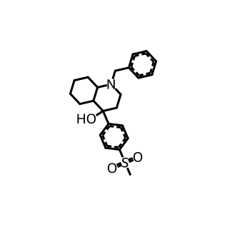 CS(=O)(=O)c1ccc(C2(O)CCN(Cc3ccccc3)C3CCCCC32)cc1